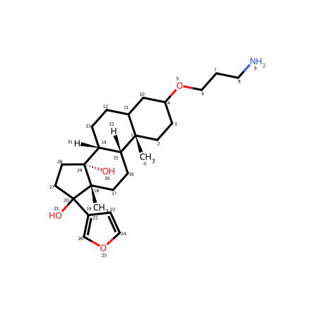 C[C@]12CCC(OCCCN)CC1CC[C@@H]1[C@H]2CC[C@]2(C)C(O)(c3ccoc3)CC[C@@]12O